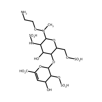 CN(OCCN)C1OC(COS(=O)(=O)O)C(OC2OC(C(=O)O)=CC(O)C2OS(=O)(=O)O)C(O)C1NS(=O)(=O)O